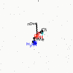 CCCCCCCCCCCCCCCCCCCC[C@@H](COP(=O)(O)OC[C@](C)(CCc1ccc2c(N)ncnn12)OC)OCc1cc(F)cc(C#N)c1